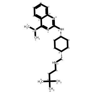 CN(C)c1nc(N[C@H]2CC[C@@H](CNCCC(C)(C)C)CC2)nc2ccccc12